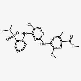 COC(=O)c1cc(OC)c(Nc2ncc(Cl)c(Nc3ccccc3S(=O)(=O)C(C)C)n2)cc1C